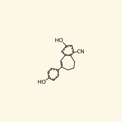 N#Cc1cc(O)cc2c1CCCC(c1ccc(O)cc1)=C2